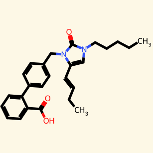 CCC=Cc1cn(CCCCC)c(=O)n1Cc1ccc(-c2ccccc2C(=O)O)cc1